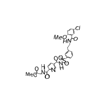 COC(=O)CNC(=O)c1ccc(C(=O)NS(=O)(=O)c2cccc(CCNC(=O)c3cc(Cl)ccc3OC)c2)cn1